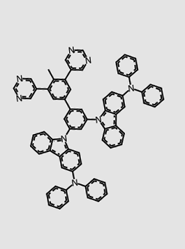 Cc1c(-c2cncnc2)cc(-c2cc(-n3c4ccccc4c4cc(N(c5ccccc5)c5ccccc5)ccc43)cc(-n3c4ccccc4c4cc(N(c5ccccc5)c5ccccc5)ccc43)c2)cc1-c1cncnc1